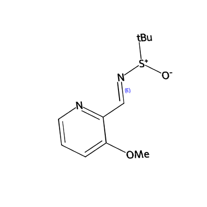 COc1cccnc1/C=N/[S+]([O-])C(C)(C)C